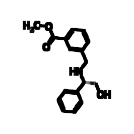 COC(=O)c1cccc(CN[C@H](CO)c2ccccc2)c1